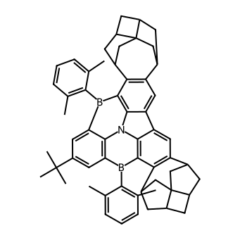 Cc1cccc(C)c1B1c2cc(C(C)(C)C)cc3c2-n2c4c1c1c(cc4c4cc5c(c(c42)B3c2c(C)cccc2C)C2CC3CC4CC5CC43C2)C2CC3CC4CC1CC34C2